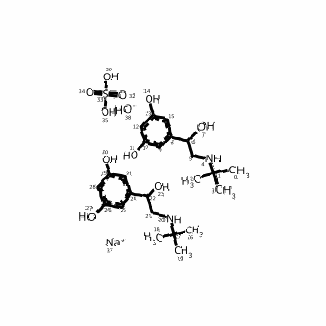 CC(C)(C)NCC(O)c1cc(O)cc(O)c1.CC(C)(C)NCC(O)c1cc(O)cc(O)c1.O=S(=O)(O)O.[Na+].[OH-]